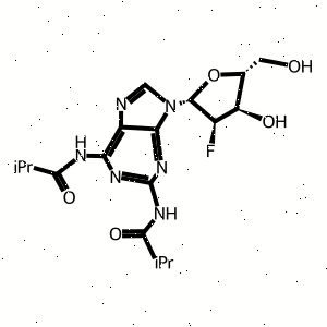 CC(C)C(=O)Nc1nc(NC(=O)C(C)C)c2ncn([C@@H]3O[C@H](CO)[C@@H](O)[C@H]3F)c2n1